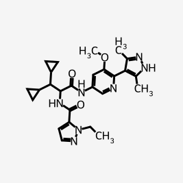 CCn1nccc1C(=O)NC(C(=O)Nc1cnc(-c2c(C)n[nH]c2C)c(OC)c1)C(C1CC1)C1CC1